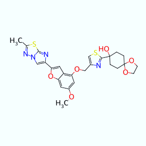 COc1cc(OCc2csc(C3(O)CCC4(CC3)OCCO4)n2)c2cc(-c3cn4nc(C)sc4n3)oc2c1